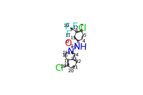 O=C(Nc1ccc(Cl)c(C(F)(F)F)c1)N1CCc2c(Cl)cccc2C1